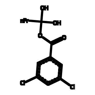 CCCC(O)(O)OC(=O)c1cc(Cl)cc(Cl)c1